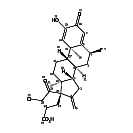 C=C1C[C@H]2[C@@H]3C[C@H](F)C4=CC(=O)C(O)=C[C@]4(C)[C@H]3CC[C@]2(C)[C@@]1(CCC(=O)O)C(=O)CCl